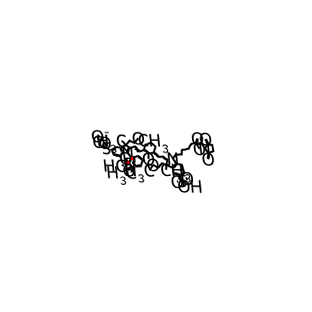 CCCC[N+]1=C(/C=C/C2=C(Oc3ccc(S(=O)(=O)O)cc3)C(=C/C=C3/N(CCCCCC(=O)ON4C(=O)CCC4=O)c4ccc(S(=O)(=O)O)cc4C3(C)CCOC)/CCC2)C(C)(CCOC)c2cc(SOO[O-])ccc21